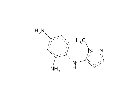 Cn1nccc1Nc1ccc(N)cc1N